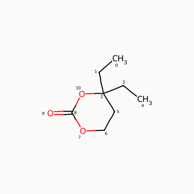 CCC1(CC)CCOC(=O)O1